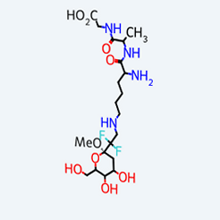 CO[C@]1(C(F)(F)CNCCCCC(N)C(=O)NC(C)C(=O)NCC(=O)O)CC(O)C(O)C(CO)O1